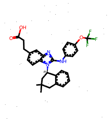 CC1(C)Cc2ccccc2[C@H](n2c(Nc3ccc(OC(F)(F)F)cc3)nc3cc(CCC(=O)O)ccc32)C1